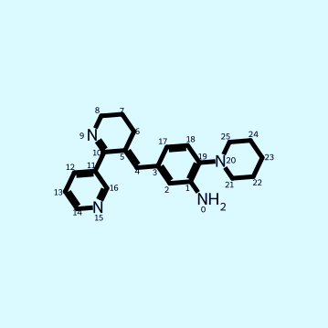 Nc1cc(/C=C2\CCCN=C2c2cccnc2)ccc1N1CCCCC1